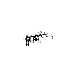 CCOC(=O)/C=C/[C@@H](N)C[C@@H]1CCNC1=O